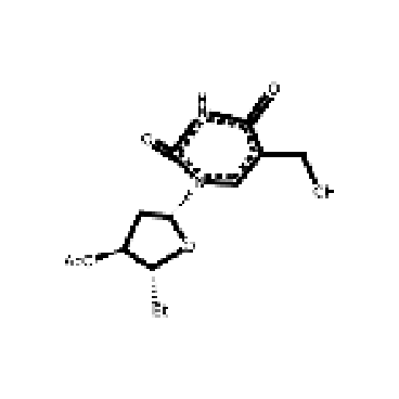 CC[C@H]1O[C@@H](n2cc(CO)c(=O)[nH]c2=O)C[C@@H]1OC(C)=O